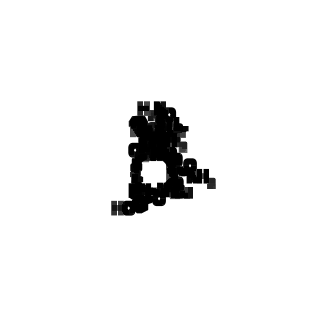 CC[C@H](C)[C@@H]1NC(=O)[C@H](Cc2ccc(O)cc2)NC(=O)CCSSC[C@@H](C(=O)N(CCc2ccccn2)CC(=O)N[C@@H](CC(C)C)C(=O)NCC(N)=O)NN[C@@H](CC(N)=O)C(=O)C(=O)[C@H](CCC(N)=O)NC1=O